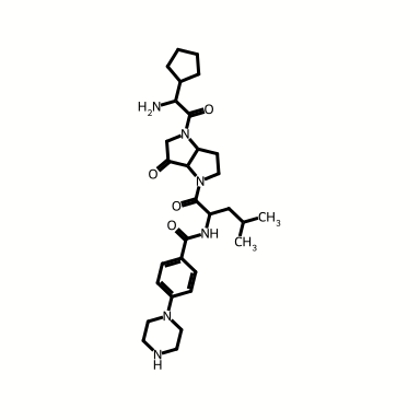 CC(C)CC(NC(=O)c1ccc(N2CCNCC2)cc1)C(=O)N1CCC2C1C(=O)CN2C(=O)C(N)C1CCCC1